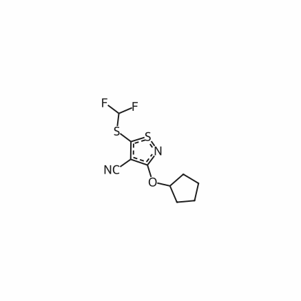 N#Cc1c(OC2CCCC2)nsc1SC(F)F